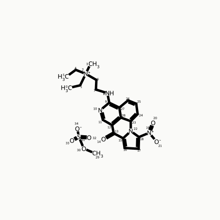 CC[N+](C)(CC)CCNc1ncc2c(=O)c3ccc([N+](=O)[O-])n3c3cccc1c23.COS(=O)(=O)[O-]